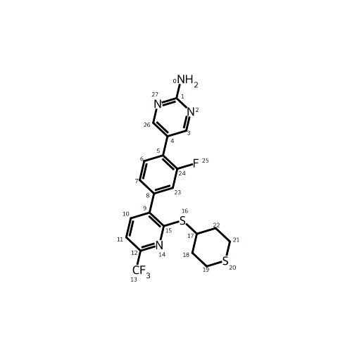 Nc1ncc(-c2ccc(-c3ccc(C(F)(F)F)nc3SC3CCSCC3)cc2F)cn1